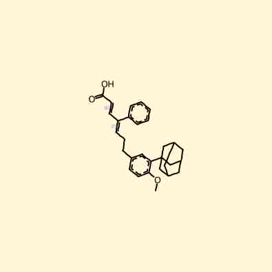 COc1ccc(CC/C=C(/C=C/C(=O)O)c2ccccc2)cc1C12CC3CC(CC(C3)C1)C2